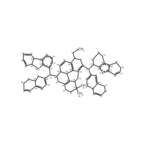 CCC1CC(N(C2=CCC3C=CCCC3=C2)C2CCCc3c2sc2c3CCC=C2)=C2CC3C4=C(CCC3(C)C)CC(N(C3=CC=C5C=CCCC5C3)c3cccc5c3SC3C=CC=CC53)C3C=CC1=C2C43